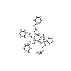 BCCOC1(C2CCCC2)OC2C(OCc3ccccc3)[C@H](OCc3ccccc3)C(COCc3ccccc3)O[C@H]2O1